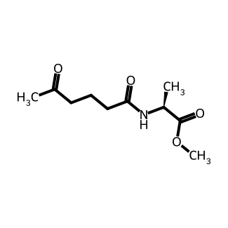 COC(=O)[C@H](C)NC(=O)CCCC(C)=O